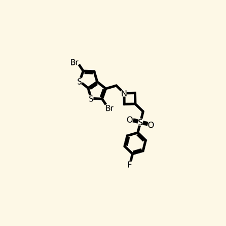 O=S(=O)(CC1CN(Cc2c(Br)sc3sc(Br)cc23)C1)c1ccc(F)cc1